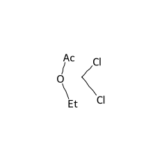 CCOC(C)=O.ClCCl